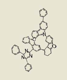 C1=C(c2cc(-c3nc(-c4ccccc4)nc(-c4ccccc4)n3)c3c(c2)oc2ccccc23)c2c(oc3ccc(-n4c5ccccc5c5cc(-c6ccccc6)ccc54)cc23)CC1